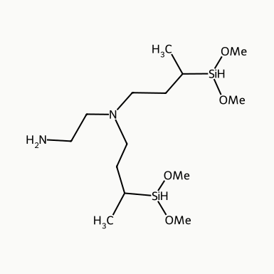 CO[SiH](OC)C(C)CCN(CCN)CCC(C)[SiH](OC)OC